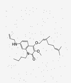 C=CCNc1ccc2c(OCC=C(C)CCC=C(C)C)c(OC)c(=O)n(CCCC)c2c1